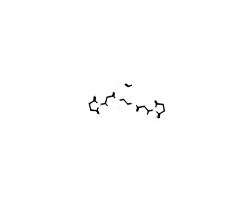 C=CS(=O)(=O)O.O=C(CC(C(=O)O)N1C(=O)CCC1=O)OCCOC(=O)CC(C(=O)O)N1C(=O)CCC1=O